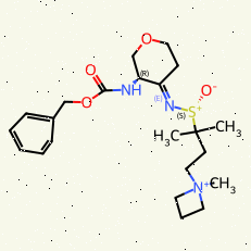 CC(C)(CC[N+]1(C)CCC1)[S@@+]([O-])/N=C1\CCOC[C@@H]1NC(=O)OCc1ccccc1